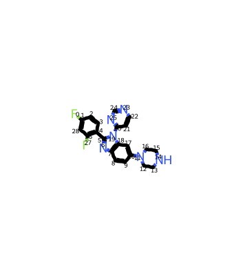 Fc1ccc(-c2nc3ccc(N4CCNCC4)cc3n2-c2ccncn2)c(F)c1